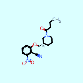 CCCC(=O)N1CCC[C@H](COc2cccc([N+](=O)[O-])c2C#N)C1